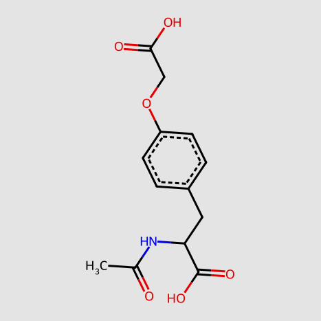 CC(=O)NC(Cc1ccc(OCC(=O)O)cc1)C(=O)O